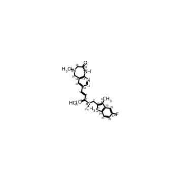 Cc1c(CN(C)C(=O)/C=C/c2cnc3c(c2)CN(C)CC(=O)N3)sc2ccc(F)cc12.Cl